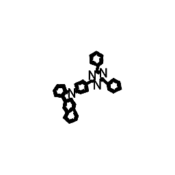 c1ccc(-c2nc(-c3ccccc3)nc(-c3ccc(-n4c5ccccc5c5cc6ccccc6cc54)cc3)n2)cc1